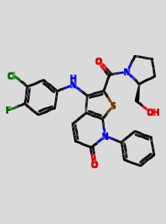 O=C(c1sc2c(ccc(=O)n2-c2ccccc2)c1Nc1ccc(F)c(Cl)c1)N1CCC[C@H]1CO